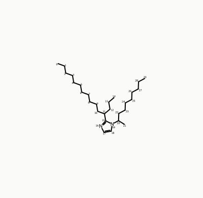 CCCCCCCCCCCC(CCC)c1nccn1C(C)CCCCCCCC